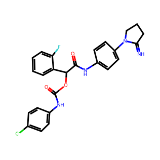 N=C1CCCN1c1ccc(NC(=O)C(OC(=O)Nc2ccc(Cl)cc2)c2ccccc2F)cc1